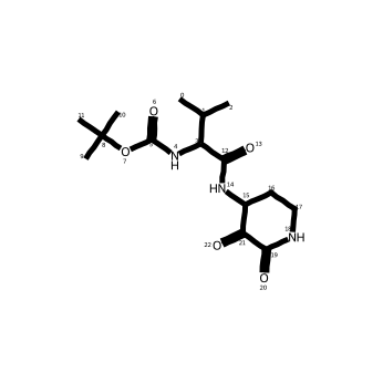 CC(C)C(NC(=O)OC(C)(C)C)C(=O)NC1CCNC(=O)C1=O